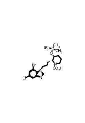 CC(C)(C)[Si](C)(C)O[C@H]1CCCN(C(=O)O)[C@@H]1CCCn1cnc2cc(Cl)cc(Br)c21